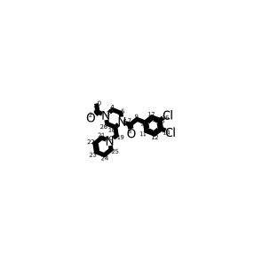 CC(=O)N1CCN(C(=O)Cc2ccc(Cl)c(Cl)c2)C(CN2CC=CCC2)C1